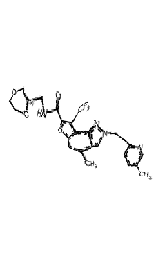 Cc1ccc(Cn2cc3c(C)cc4oc(C(=O)NC[C@@H]5COCCO5)c(C(F)(F)F)c4c3n2)nc1